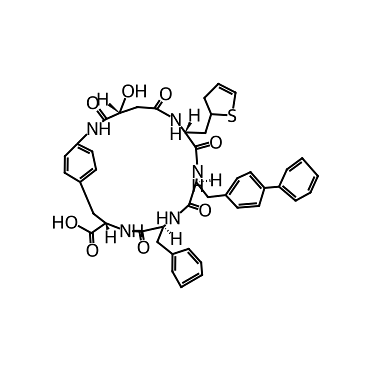 O=C1C[C@@H](O)C(=O)Nc2ccc(cc2)C[C@@H](C(=O)O)NC(=O)[C@H](Cc2ccccc2)NC(=O)[C@H](Cc2ccc(-c3ccccc3)cc2)NC(=O)[C@@H](CC2CC=CS2)N1